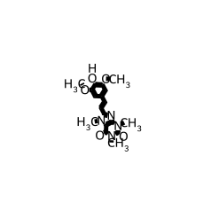 COc1cc(C=Cc2nc3c(c(=O)n(C)c(=O)n3C)n2C)cc(OC)c1O